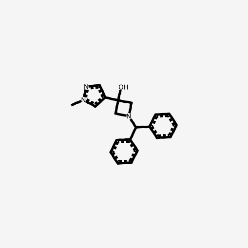 Cn1cc(C2(O)CN(C(c3ccccc3)c3ccccc3)C2)cn1